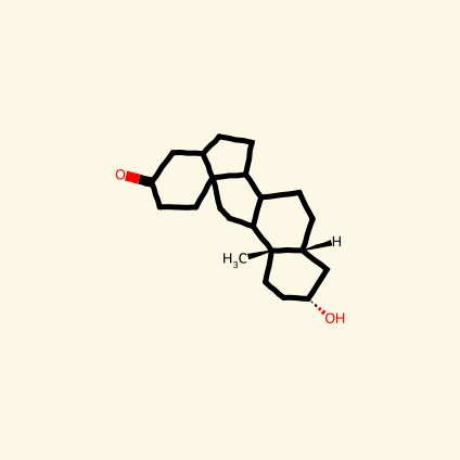 C[C@]12CC[C@@H](O)C[C@H]1CCC1C3CCC4CC(=O)CCC43CCC12